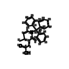 C=C(/C=C/C(=O)O)N(/C=C\CC)C(c1ccccc1)(c1ccccc1)c1ccccc1